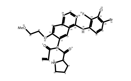 C=CC(=O)N(C(=O)C1CCCN1)c1cc2c(Nc3ccc(Br)c(Cl)c3F)ncnc2cc1OCCOC